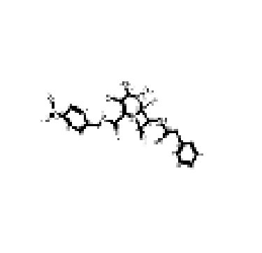 CC1C(Cl)=C(C(=O)OCc2ccc([N+](=O)[O-])cc2)N2C(=O)C(NC(=O)Cc3ccccc3)[C@H]2[S+]1[O-]